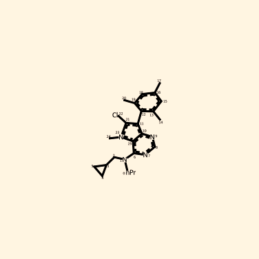 CCCN(CC1CC1)c1ncnc2c(-c3c(C)cc(C)cc3C)c(Cl)n(C)c12